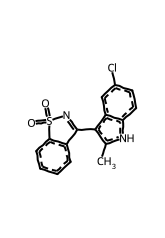 Cc1[nH]c2ccc(Cl)cc2c1C1=NS(=O)(=O)c2ccccc21